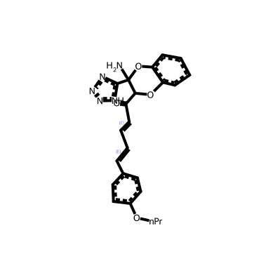 CCCOc1ccc(/C=C/C=C/C(=O)C2Oc3ccccc3OC2(N)c2nnn[nH]2)cc1